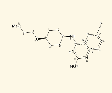 COCCO[C@H]1CC[C@@H](Nc2nc(O)nc3ccc(I)cc23)CC1